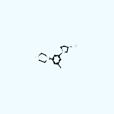 Cc1cc(N2CCOCC2)cc(N2CC[C@@H](O)C2)c1